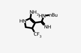 CCCCNC(=N)C1=C(N)NCC1C(F)(F)F